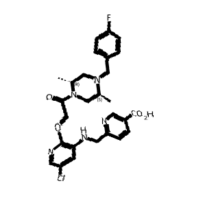 C[C@@H]1CN(Cc2ccc(F)cc2)[C@@H](C)CN1C(=O)COc1ncc(Cl)cc1NCc1ccc(C(=O)O)cn1